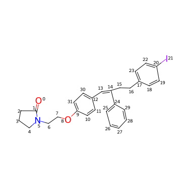 O=C1CCCN1CCOc1ccc(/C=C(/CCc2ccc(I)cc2)c2ccccc2)cc1